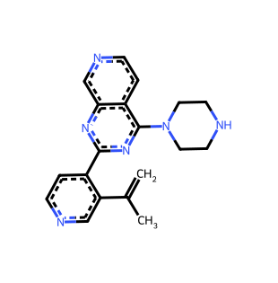 C=C(C)c1cnccc1-c1nc(N2CCNCC2)c2ccncc2n1